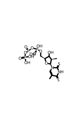 Cc1cn([C@H]2O[C@@H](COP(=O)(O)OP(=O)(O)OP(=O)(O)O)C(O)[C@H]2C)c(=S)[nH]c1=S